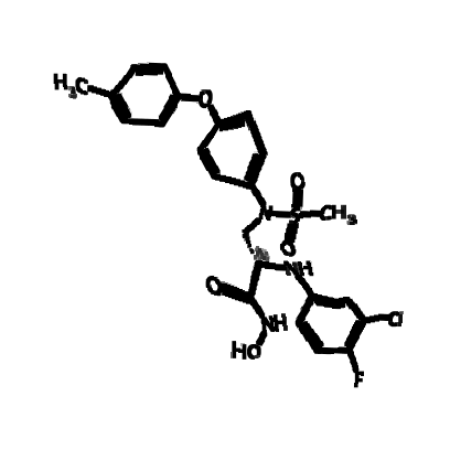 Cc1ccc(Oc2ccc(N(C[C@H](Nc3ccc(F)c(Cl)c3)C(=O)NO)S(C)(=O)=O)cc2)cc1